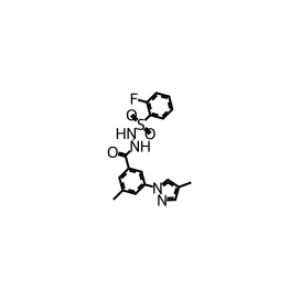 Cc1cc(C(=O)NNS(=O)(=O)c2ccccc2F)cc(-n2cc(C)cn2)c1